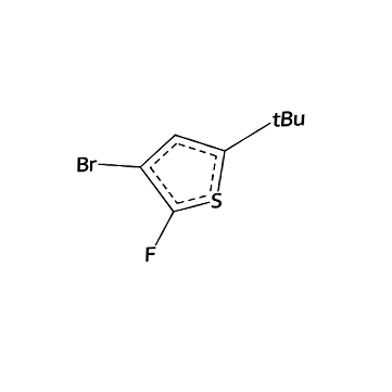 CC(C)(C)c1cc(Br)c(F)s1